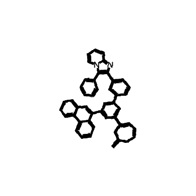 C=C1CC=CC=C(c2cc(-c3cccc(-c4nc5ccccn5c4-c4ccccc4)c3)cc(-c3cc4ccccc4c4ccccc34)c2)C1